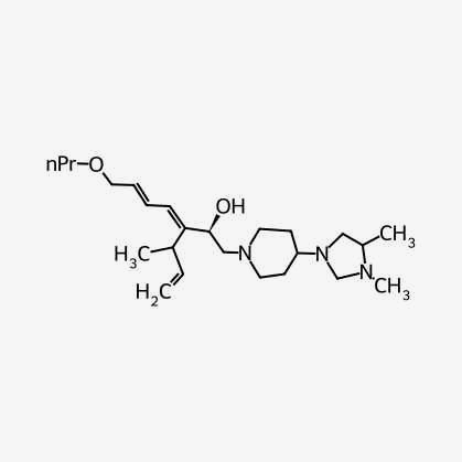 C=CC(C)/C(=C\C=C\COCCC)[C@@H](O)CN1CCC(N2CC(C)N(C)C2)CC1